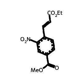 CCOC(=O)/C=C/c1ccc(C(=O)OC)cc1[N+](=O)[O-]